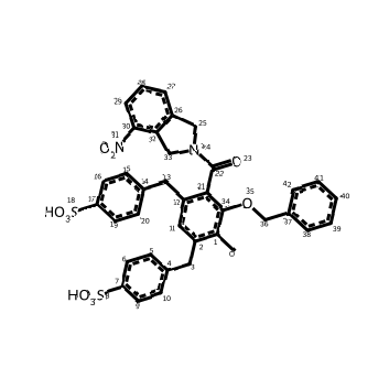 Cc1c(Cc2ccc(S(=O)(=O)O)cc2)cc(Cc2ccc(S(=O)(=O)O)cc2)c(C(=O)N2Cc3cccc([N+](=O)[O-])c3C2)c1OCc1ccccc1